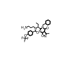 CCC(c1nc2onc(C)c2c(=O)n1Cc1ccccc1)N(CCCN)C(=O)c1ccc(OC(F)(F)F)cc1